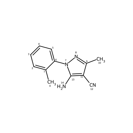 Cc1ccccc1-n1nc(C)c(C#N)c1N